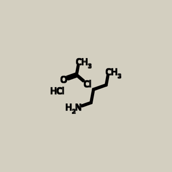 CC(=O)Cl.CCCCN.Cl